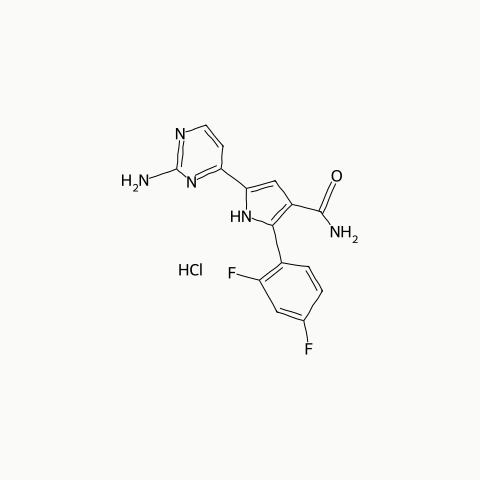 Cl.NC(=O)c1cc(-c2ccnc(N)n2)[nH]c1-c1ccc(F)cc1F